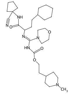 CN1CCC(CCOC(=O)N/C(=N/C(CCC2CCCCC2)C(=O)NC2(C#N)CCCC2)N2CCOCC2)CC1